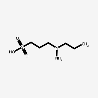 CCCN(N)CCCS(=O)(=O)O